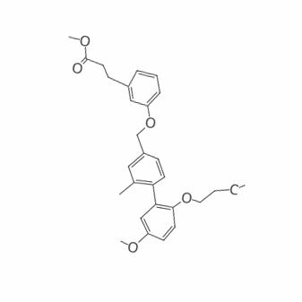 CCCCOc1ccc(OC)cc1-c1ccc(COc2cccc(CCC(=O)OC)c2)cc1C